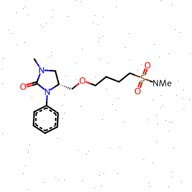 CNS(=O)(=O)CCCCOC[C@H]1CN(C)C(=O)N1c1ccccc1